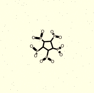 O=P(=O)C1C(P(=O)=O)C(P(=O)=O)C(P(=O)=O)C1P(=O)=O